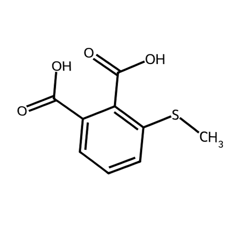 CSc1cccc(C(=O)O)c1C(=O)O